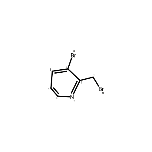 BrCc1ncccc1Br